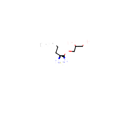 CCOC(=O)CCc1nsnc1OCC(O)CO